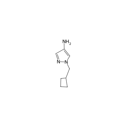 Nc1cnn(CC2CCC2)c1